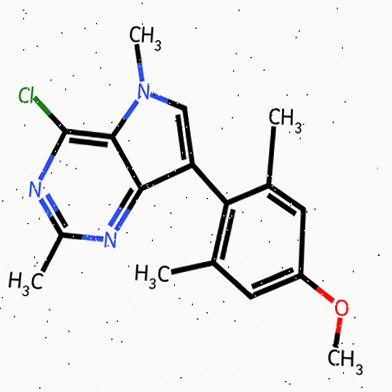 COc1cc(C)c(-c2cn(C)c3c(Cl)nc(C)nc23)c(C)c1